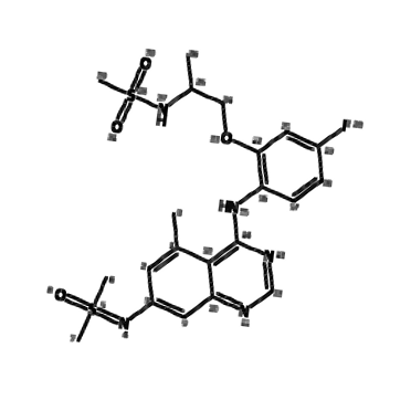 Cc1cc(N=S(C)(C)=O)cc2ncnc(Nc3ccc(F)cc3OCC(C)NS(C)(=O)=O)c12